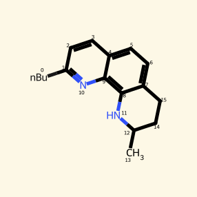 CCCCc1ccc2ccc3c(c2n1)NC(C)CC3